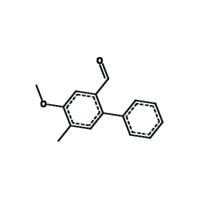 COc1cc(C=O)c(-c2ccccc2)cc1C